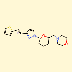 C(=C\c1cccs1)/c1ccn(C2CCCC(CN3CCOCC3)O2)n1